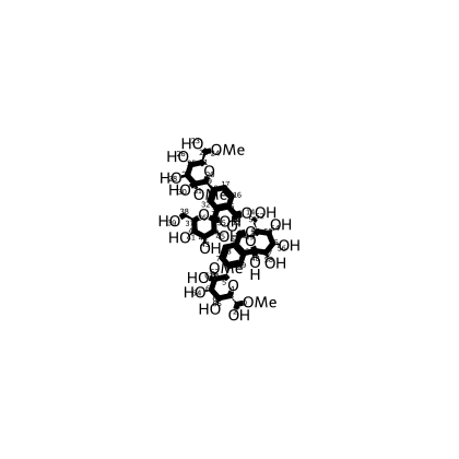 COC(O)[C@H]1O[C@@H](c2ccc(C(=O)OC(=O)c3ccc([C@@H]4O[C@H](C(O)OC)[C@@H](O)[C@H](O)[C@]4(O)OC)cc3C3(O)O[C@H](CO)[C@@H](O)[C@H](O)[C@H]3O)c(C3(O)O[C@H](CO)[C@@H](O)[C@H](O)[C@H]3O)c2)[C@@](O)(OC)[C@@H](O)[C@@H]1O